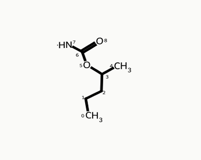 CCCC(C)OC([NH])=O